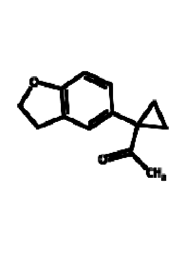 CC(=O)C1(c2ccc3c(c2)CCO3)CC1